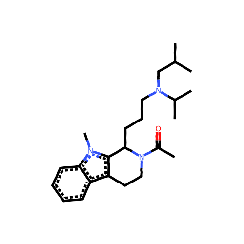 CC(=O)N1CCc2c(n(C)c3ccccc23)C1CCCN(CC(C)C)C(C)C